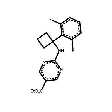 CCOC(=O)c1cnc(NC2(c3c(F)cccc3F)CCC2)nc1